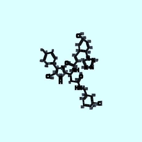 Cc1ccc(-c2nc([C@H](CC(=O)NCc3cccc(Cl)c3)NC(=O)/C=C/c3cc(Cl)ccc3-n3cnnn3)[nH]c2Cl)cc1